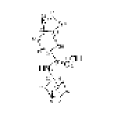 Cl.O=C(NC1CN2CCC1CC2)c1ccc2ncsc2c1